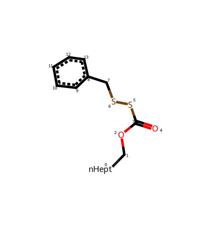 CCCCCCCCOC(=O)SSCc1ccccc1